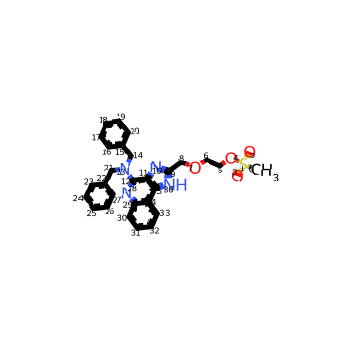 CS(=O)(=O)OCCOCc1nc2c(N(Cc3ccccc3)Cc3ccccc3)nc3ccccc3c2[nH]1